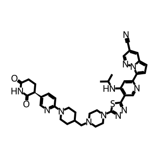 CC(C)Nc1cc(-c2ccc3cc(C#N)cnn23)ncc1-c1nnc(N2CCN(CC3CCN(c4ccc([C@@H]5CCC(=O)NC5=O)cn4)CC3)CC2)s1